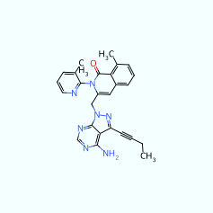 CCC#Cc1nn(Cc2cc3cccc(C)c3c(=O)n2-c2ncccc2C)c2ncnc(N)c12